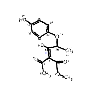 COC(=O)/C(C(C)=O)=C(/O)C(C)Oc1ccc(O)cc1